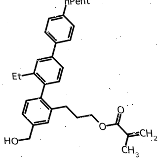 C=C(C)C(=O)OCCCc1cc(CO)ccc1-c1ccc(-c2ccc(CCCCC)cc2)cc1CC